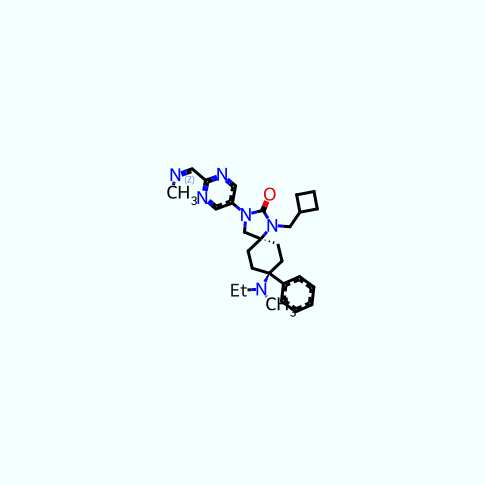 CCN(C)[C@]1(c2ccccc2)CC[C@]2(CC1)CN(c1cnc(/C=N\C)nc1)C(=O)N2CC1CCC1